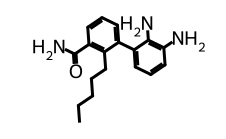 CCCCCc1c(C(N)=O)cccc1-c1cccc(N)c1N